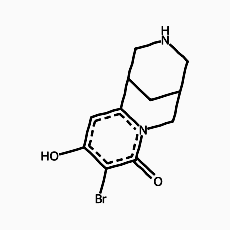 O=c1c(Br)c(O)cc2n1CC1CNCC2C1